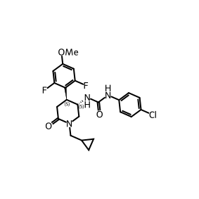 COc1cc(F)c([C@@H]2CC(=O)N(CC3CC3)C[C@H]2NC(=O)Nc2ccc(Cl)cc2)c(F)c1